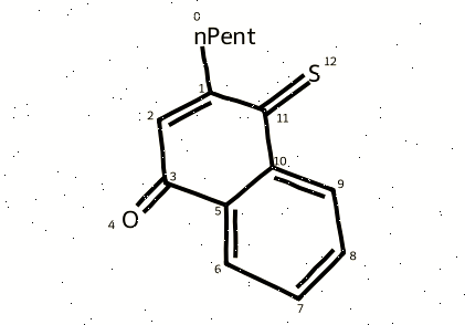 CCCCCC1=CC(=O)c2ccccc2C1=S